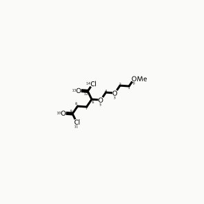 COCCOCOC(CCC(=O)Cl)C(=O)Cl